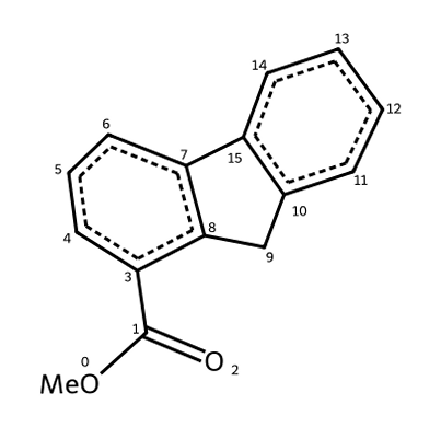 COC(=O)c1cccc2c1Cc1ccccc1-2